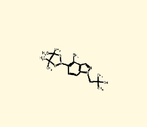 Cc1c(B2OC(C)(C)C(C)(C)O2)ccc2c1cnn2CC(C)(C)O